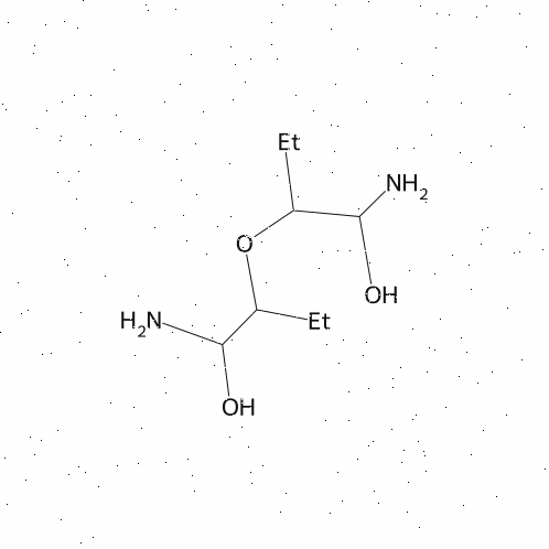 CCC(OC(CC)C(N)O)C(N)O